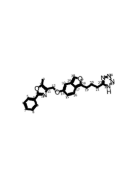 Cc1oc(-c2ccccc2)nc1COc1ccc2c(CCCc3nnn[nH]3)occ2c1